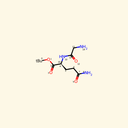 CC(C)(C)OC(=O)[C@H](CCC(N)=O)NC(=O)CN